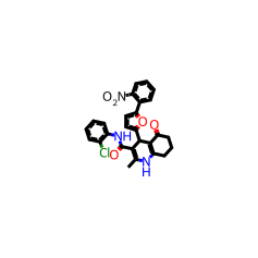 CC1=C(C(=O)Nc2ccccc2Cl)C(c2ccc(-c3ccccc3[N+](=O)[O-])o2)C2=C(CCCC2=O)N1